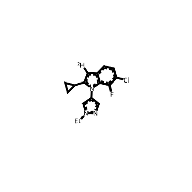 [2H]c1c(C2CC2)n(-c2cnn(CC)c2)c2c(F)c(Cl)ccc12